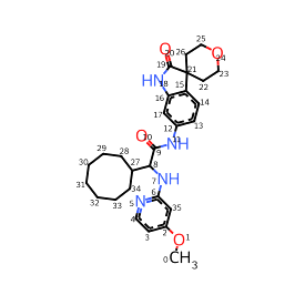 COc1ccnc(NC(C(=O)Nc2ccc3c(c2)NC(=O)C32CCOCC2)C2CCCCCCC2)c1